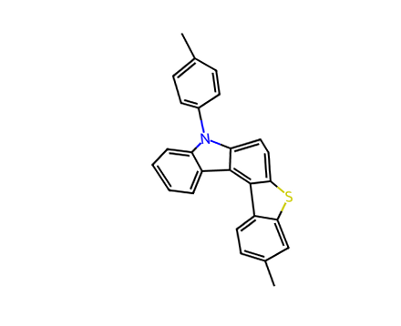 Cc1ccc(-n2c3ccccc3c3c4c(ccc32)sc2cc(C)ccc24)cc1